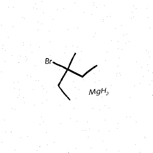 CCC(C)(Br)CC.[MgH2]